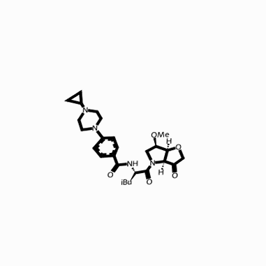 CC[C@H](C)[C@H](NC(=O)c1ccc(N2CCN(C3CC3)CC2)cc1)C(=O)N1C[C@@H](OC)[C@H]2OCC(=O)[C@H]21